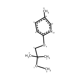 COC(C)(C)COc1ccc(C)cn1